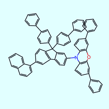 c1ccc(-c2ccc(C3(c4ccc(-c5ccccc5)cc4)c4ccc(-c5cccc6ccccc56)cc4-c4ccc(N5c6ccc(-c7ccccc7)cc6Oc6cc(-c7ccccc7)ccc65)cc43)cc2)cc1